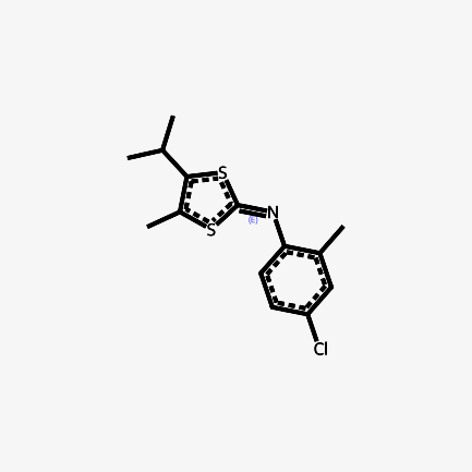 Cc1cc(Cl)ccc1/N=c1\sc(C)c(C(C)C)s1